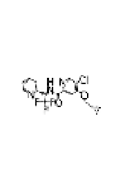 O=C(N[C@@H](c1ccccn1)C(F)(F)F)c1cc(OCC2CC2)c(Cl)cn1